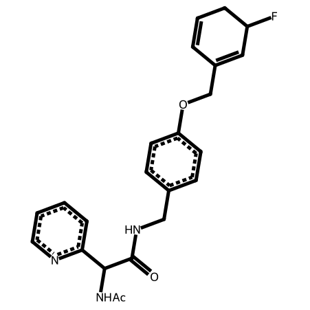 CC(=O)NC(C(=O)NCc1ccc(OCC2=CC(F)CC=C2)cc1)c1ccccn1